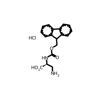 Cl.NC[C@H](NC(=O)OCC1c2ccccc2-c2ccccc21)C(=O)O